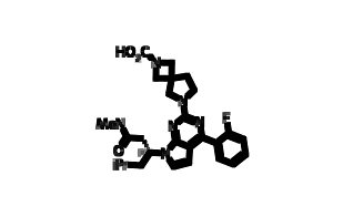 CNC(=O)C[C@@H](CC(C)C)n1ccc2c(-c3ccccc3F)nc(N3CCC4(CN(C(=O)O)C4)C3)nc21